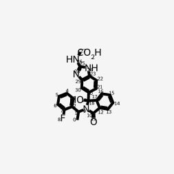 CC(c1ccccc1F)N1C(=O)c2ccccc2C1(O)c1ccc2[nH]c(NC(=O)O)nc2c1